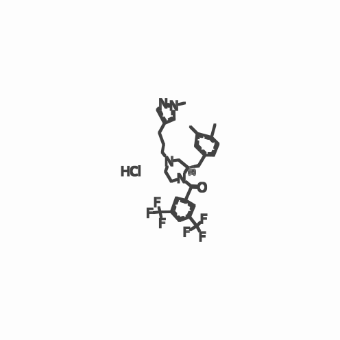 Cc1ccc(C[C@@H]2CN(CCCc3cnn(C)c3)CCN2C(=O)c2cc(C(F)(F)F)cc(C(F)(F)F)c2)cc1C.Cl